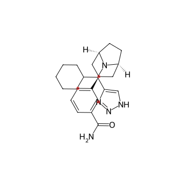 NC(=O)c1cccc([C@H]2C[C@H]3CC[C@@H](C2)N3C(c2c[nH]nn2)C2CCCCC2)c1